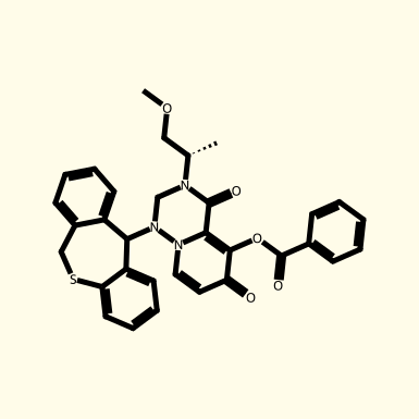 COC[C@H](C)N1CN(C2c3ccccc3CSc3ccccc32)n2ccc(=O)c(OC(=O)c3ccccc3)c2C1=O